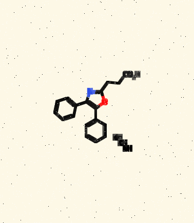 O=C(O)CCc1nc(-c2ccccc2)c(-c2ccccc2)o1.[KH].[KH].[KH]